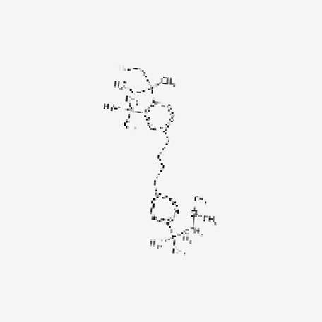 CCC(C)(CC)c1ccc(CCCCc2ccc(C(C)(C)C)c([Si](C)(C)C)c2)cc1[Si](C)(C)C